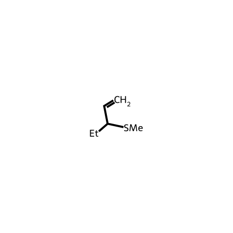 [CH2]CC(C=C)SC